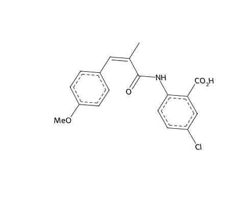 COc1ccc(C=C(C)C(=O)Nc2ccc(Cl)cc2C(=O)O)cc1